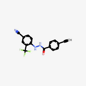 C#Cc1ccc(C(=O)NNc2ccc(C#N)cc2C(F)(F)F)cc1